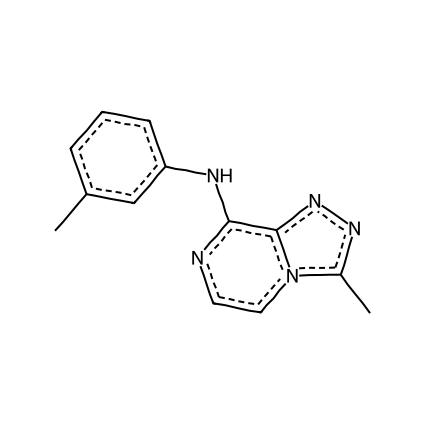 Cc1cccc(Nc2nccn3c(C)nnc23)c1